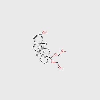 COCOC(OCOC)[C@@]12CCC[C@H]1[C@@H]1CC=C3C=CC(O)=C[C@@H]3[C@H]1CC2